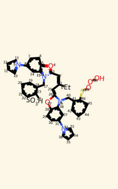 CCC(=Cc1oc2ccc(-n3cccc3)cc2[n+]1Cc1ccccc1S(=O)(=O)O)C=C1Oc2ccc(-n3cccc3)cc2N1Cc1ccccc1SOOO